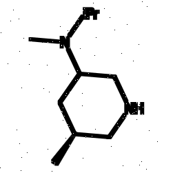 CC(C)N(C)C1CNC[C@@H](C)C1